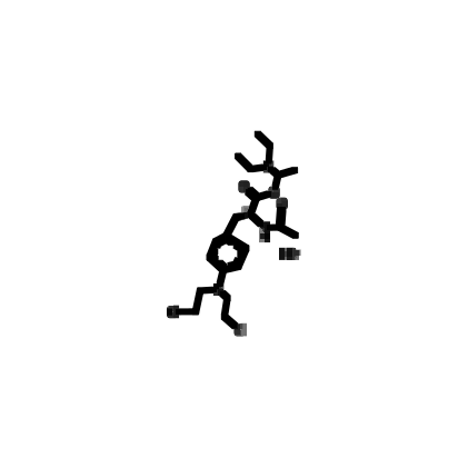 Br.CCN(CC)C(C)OC(=O)[C@H](Cc1ccc(N(CCCl)CCCl)cc1)NC(C)=O